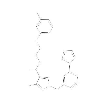 Nc1nn(Cc2ccnc(-n3cccn3)c2)cc1C(=O)NCCOc1cccc(Cl)c1